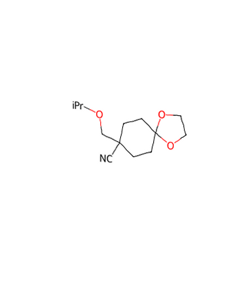 CC(C)OCC1(C#N)CCC2(CC1)OCCO2